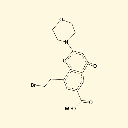 COC(=O)c1cc(CCBr)c2oc(N3CCOCC3)cc(=O)c2c1